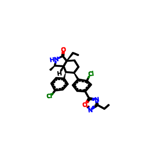 CCc1noc(-c2ccc([C@@H]3CC[C@@]4(CC)C(=O)N[C@H](C)[C@H]4[C@H]3c3ccc(Cl)cc3)c(Cl)c2)n1